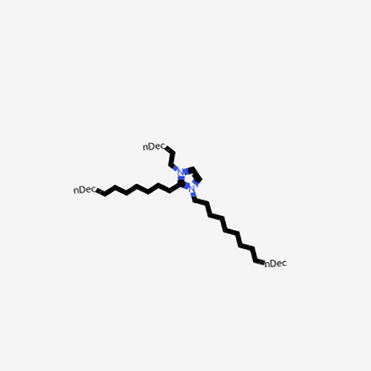 CCCCCCCCCCCCCCCCCCC[n+]1ccn(CCCCCCCCCCCC)c1CCCCCCCCCCCCCCCCC